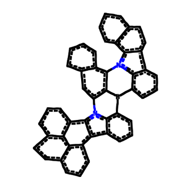 c1ccc2c3c4c(cc2c1)-n1c2c(cccc2c2c5cccc6ccc7cccc(c7c65)c21)B4c1cccc2c4ccc5ccccc5c4n-3c12